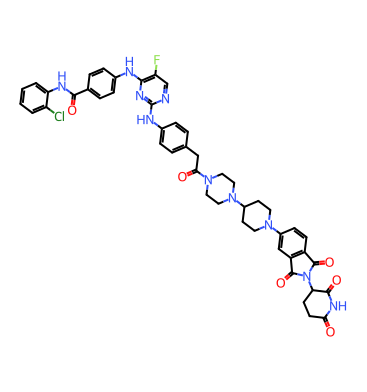 O=C1CCC(N2C(=O)c3ccc(N4CCC(N5CCN(C(=O)Cc6ccc(Nc7ncc(F)c(Nc8ccc(C(=O)Nc9ccccc9Cl)cc8)n7)cc6)CC5)CC4)cc3C2=O)C(=O)N1